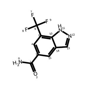 NC(=O)c1cc(C(F)(F)F)c2[nH]ncc2c1